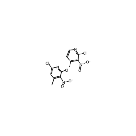 Cc1cc(Cl)nc(Cl)c1[N+](=O)[O-].Cc1ccnc(Cl)c1[N+](=O)[O-]